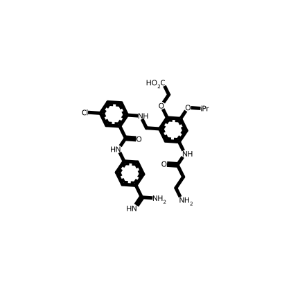 CC(C)Oc1cc(NC(=O)CCN)cc(CNc2ccc(Cl)cc2C(=O)Nc2ccc(C(=N)N)cc2)c1OCC(=O)O